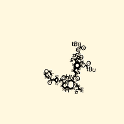 CC(C)(C)C(=O)OCOP(=O)(OCOC(=O)C(C)(C)C)C(F)(F)c1ccc2sc(C(=O)NC3CN(CC(F)F)CC[C@H]4CC[C@@H](C(=O)N5CC(C(=O)N6CCOCC6)C5)N4C3=O)cc2c1